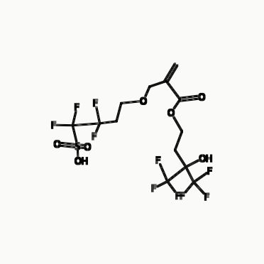 C=C(COCCC(F)(F)C(F)(F)S(=O)(=O)O)C(=O)OCCC(O)(C(F)(F)F)C(F)(F)F